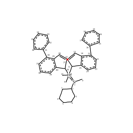 C[Si](C1CCCCC1)=[Hf]([CH3])([CH3])([CH]1C=Cc2c(-c3ccccc3)cccc21)[CH]1C=Cc2c(-c3ccccc3)cccc21